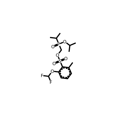 Cc1cccc(OC(F)F)c1S(=O)(=O)OCP(=O)(OC(C)C)C(C)C